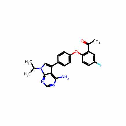 CC(=O)c1cc(F)ccc1Oc1ccc(-c2cn(C(C)C)c3ncnc(N)c23)cc1